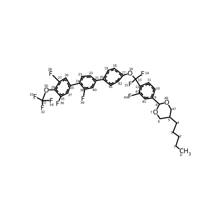 CCCCCC1COC(c2ccc(C(F)(F)Oc3ccc(-c4ccc(-c5cc(F)c(OC(F)(F)F)c(F)c5)c(F)c4)cc3)c(F)c2)OC1